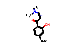 COc1ccc(C(=O)/C=C\N(C)C)c(O)c1